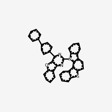 c1ccc(-c2ccc(-c3nc(-n4c5ccccc5c5ccc6sc7ccccc7c6c54)nc4c3oc3ccccc34)cc2)cc1